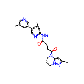 Cc1cncc(-c2cnc(NC(=O)CCC(=O)N3CCCn4nc(C)cc43)cc2C)c1